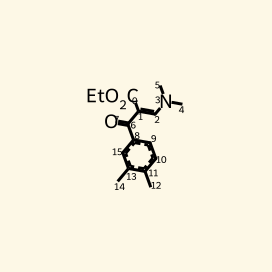 CCOC(=O)C(=CN(C)C)C(=O)c1ccc(C)c(C)c1